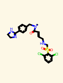 CN(Cc1ccc(C2=NCCN2)cc1)C(=O)C=CCNCS(=O)(=O)c1c(Cl)cccc1Cl